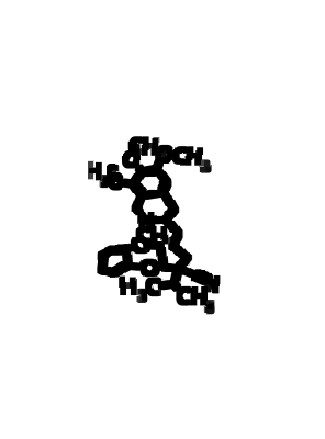 COc1cc2c(c(OC)c1OC)CN(C)C(CCCC(C#N)(C(C)C)C1COc3ccccc3O1)C2